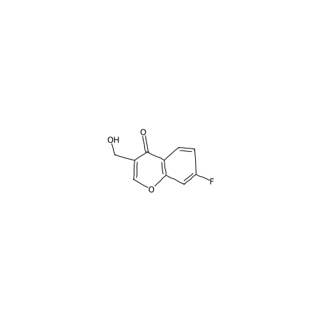 O=c1c(CO)coc2cc(F)ccc12